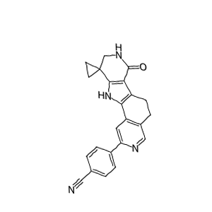 N#Cc1ccc(-c2cc3c(cn2)CCc2c-3[nH]c3c2C(=O)NCC32CC2)cc1